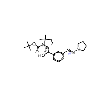 CC(C)(C)OC(=O)N1[C@@H]([C@H](O)c2cccc(/N=N/N3CCCC3)c2)CCC1(C)C